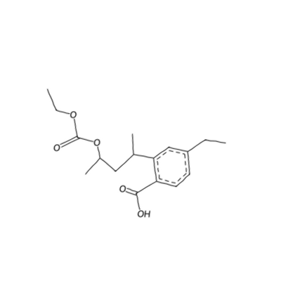 CCOC(=O)OC(C)CC(C)c1cc(CC)ccc1C(=O)O